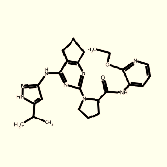 CCOc1ncccc1NC(=O)C1CCCN1c1nc2c(c(Nc3cc(C(C)C)[nH]n3)n1)CCC2